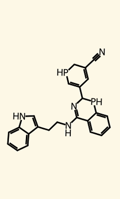 N#CC1=CC(C2N=C(NCCc3c[nH]c4ccccc34)c3ccccc3P2)=CPC1